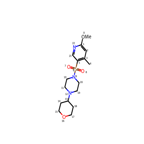 COc1cc(C)c(S(=O)(=O)N2CCN(C3CCOCC3)CC2)cn1